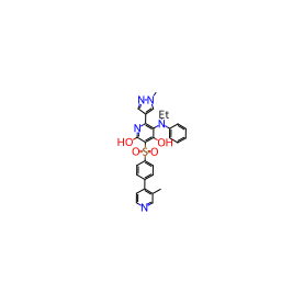 CCN(c1ccccc1)c1c(-c2cnn(C)c2)nc(O)c(S(=O)(=O)c2ccc(-c3ccncc3C)cc2)c1O